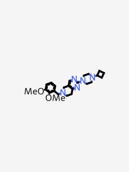 COc1cccc(CN2CCc3nc(N4CCN(C5CCC5)CC4)ncc3C2)c1OC